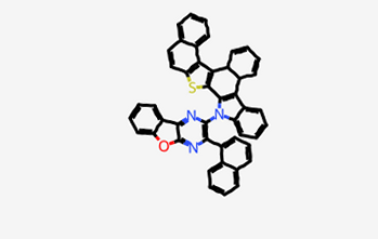 C1=CC2c3c(n(-c4nc5c(nc4-c4cccc6ccccc46)oc4ccccc45)c4ccccc34)-c3sc4ccc5ccccc5c4c3C2C=C1